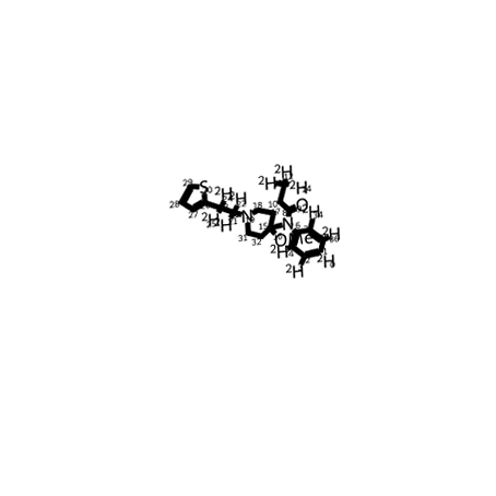 [2H]c1c([2H])c([2H])c(N(C(=O)CC([2H])([2H])[2H])C2(OC)CCN(C([2H])([2H])C([2H])([2H])c3cccs3)CC2)c([2H])c1[2H]